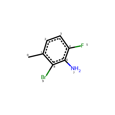 Cc1ccc(F)c(N)c1Br